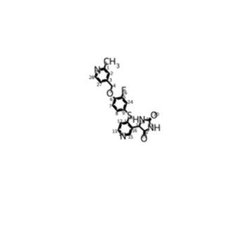 Cc1cc(COc2ccc(Sc3ccncc3C3NC(=O)NC3=O)cc2F)ccn1